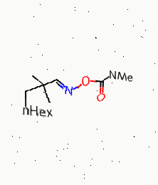 CCCCCCCC(C)(C)/C=N/OC(=O)NC